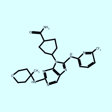 CC1(Nc2ncc3nc(Nc4cccc(C(F)(F)F)n4)n(C4CCC(C(N)=O)CC4)c3n2)CCOCC1